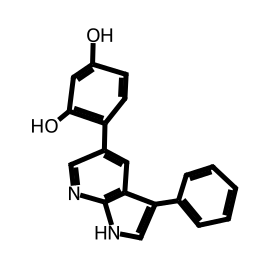 Oc1ccc(-c2cnc3[nH]cc(-c4ccccc4)c3c2)c(O)c1